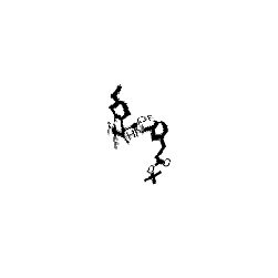 CCc1ccc([C@@H](C(=O)Nc2cc(CCC(=O)OC(C)(C)C)ccc2F)[C@@H](C)C(F)(F)F)cc1